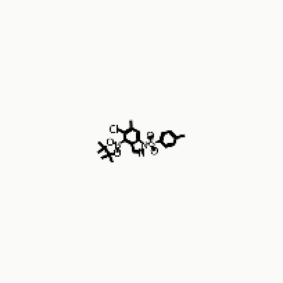 Cc1ccc(S(=O)(=O)n2ncc3c(B4OC(C)(C)C(C)(C)O4)c(Cl)c(C)cc32)cc1